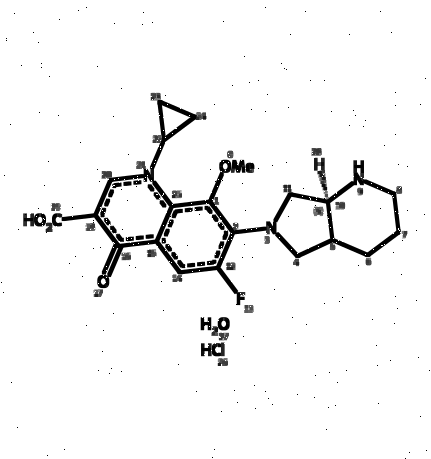 COc1c(N2CC3CCCN[C@@H]3C2)c(F)cc2c(=O)c(C(=O)O)cn(C3CC3)c12.Cl.O